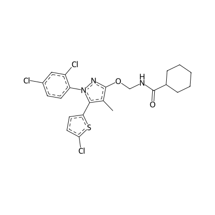 Cc1c(OCNC(=O)C2CCCCC2)nn(-c2ccc(Cl)cc2Cl)c1-c1ccc(Cl)s1